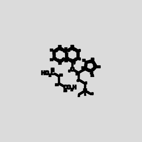 CN(C)CCC(Oc1cccc2ccccc12)c1cccs1.O=C(O)CCC(=O)O